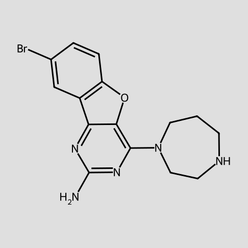 Nc1nc(N2CCCNCC2)c2oc3ccc(Br)cc3c2n1